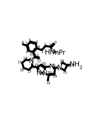 C=C(CCc1ccc(C)cc1C(=C)N1CCCCC1c1cc2nc(N3CC(N)C3)cc(C)n2n1)NCCC